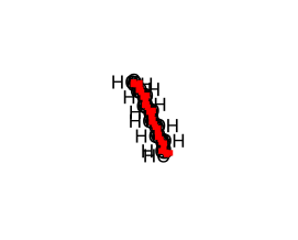 CCC(CO)COP(=O)(O)OCCOP(=O)(O)OCCOP(=O)(O)OCCOP(=O)(O)OCCOP(=O)(O)OCCOP(=O)(O)OCCOP(=O)(O)OCCOP(=O)(O)OCCOP(=O)(O)OCC(CC)COP(=O)(O)O